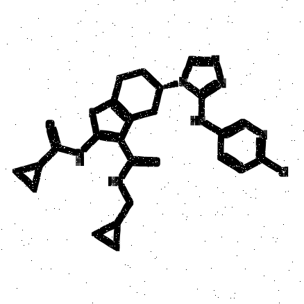 O=C(NCC1CC1)c1c(NC(=O)C2CC2)sc2c1C[C@@H](n1cnnc1Nc1ccc(Cl)nc1)CC2